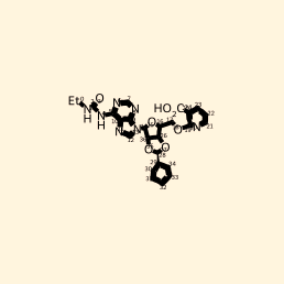 CCNC(=O)Nc1ncnc2c1ncn2C1OC(COc2ncccc2C(=O)O)C2O[C@@H](c3ccccc3)OC21